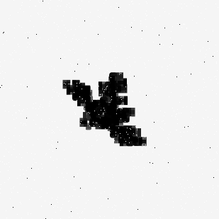 C[C@H](CCC(=O)N[C@@H](CCC(=O)NC[C@H](O)[C@@H](O)[C@H](O)[C@H](O)CO)C(=O)N[C@@H](CCC(=O)O)C(=O)N[C@@H](CCC(O)NC[C@H](O)[C@@H](O)[C@H](O)[C@H](O)CO)C(=O)N[C@@H](CS)C(=O)O)NC(=O)c1ccc(NCc2cnc3nc(N)[nH]c(=O)c3n2)cc1